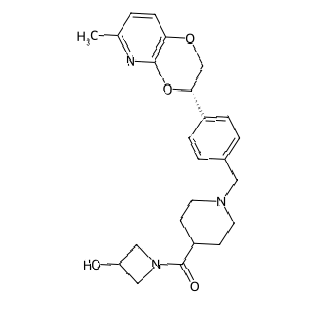 Cc1ccc2c(n1)O[C@@H](c1ccc(CN3CCC(C(=O)N4CC(O)C4)CC3)cc1)CO2